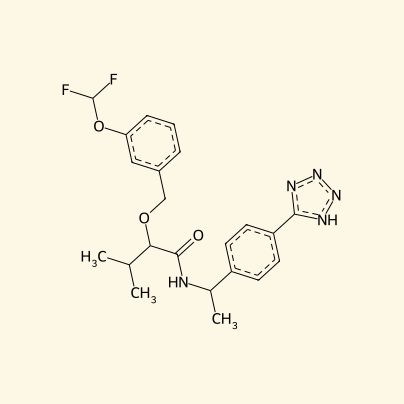 CC(NC(=O)C(OCc1cccc(OC(F)F)c1)C(C)C)c1ccc(-c2nnn[nH]2)cc1